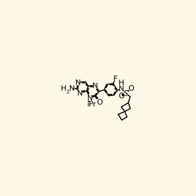 CC(C)n1c(=O)c(-c2ccc(NS(=O)(=O)CC3CC4(CCC4)C3)c(F)c2)nc2cnc(N)nc21